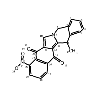 CC1c2ccccc2Cn2cc3c(c21)C(=O)c1cccc([N+](=O)[O-])c1C3=O